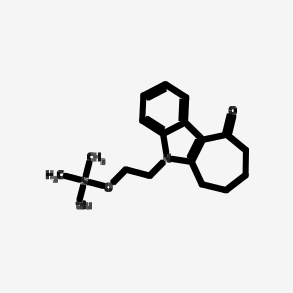 CC(C)(C)[Si](C)(C)OCCn1c2c(c3ccccc31)C(=O)CCCC2